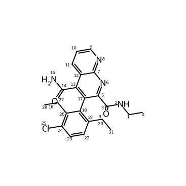 CCNC(=O)c1nc2ncccc2c(C(N)=O)c1-c1c(CC)ccc(Cl)c1CC